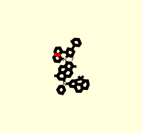 Cc1cc(N(c2ccccc2)c2cc3c4c(ccc5cccc(c54)C3(C)C)c2)c2ccc3c(C)cc(N(c4ccccc4)c4c(F)cc(-c5ccccc5)cc4-c4ccccc4)c4ccc1c2c34